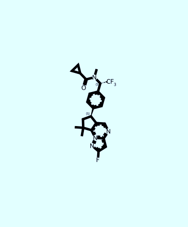 CN(C(=O)C1CC1)[C@@H](c1ccc([C@@H]2CC(C)(C)c3c2cnc2cc(F)nn32)cc1)C(F)(F)F